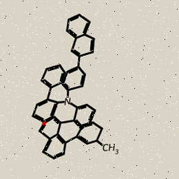 CC1C=C(c2cccc3cccc(-c4ccccc4N(c4ccc(-c5ccc6ccccc6c5)cc4)c4ccccc4-c4ccccc4)c23)C=CC1